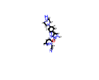 CC(C)CC(Nc1nn(C)cc1-c1ccc(N2CCNCC2)cc1)C(=O)NCC#N